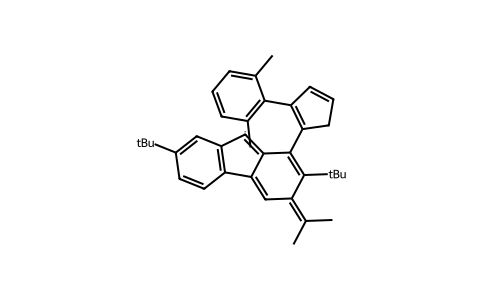 CC(C)=c1cc2c(c(C3=C(c4c(C)cccc4C)C=CC3)c1C(C)(C)C)=[C]c1cc(C(C)(C)C)ccc1-2